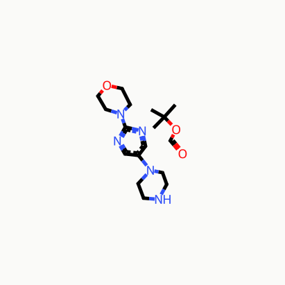 CC(C)(C)OC=O.c1nc(N2CCOCC2)ncc1N1CCNCC1